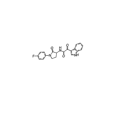 O=C(NC1CCN(c2ccc(F)cc2)C1=O)C(=O)c1c[nH]c2ccccc12